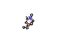 C=N/C(=N\C(=N/Cc1ccccc1)c1cccc2c1oc1ccccc12)c1cccc(-c2cccc(-c3cccc4c3oc3c(-c5ccccc5)cccc34)c2)c1